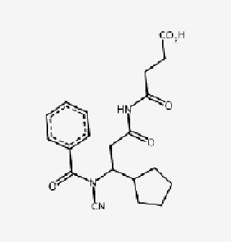 N#CN(C(=O)c1ccccc1)C(CC(=O)NC(=O)CCC(=O)O)C1CCCC1